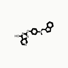 CN(CC1C=Cc2ccccc21)c1ccc(Oc2nc(O)c3ccncc3n2)cc1